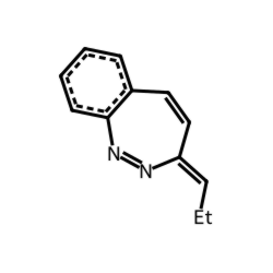 CCC=C1C=Cc2ccccc2N=N1